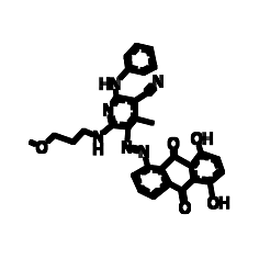 COCCCNc1nc(Nc2ccccc2)c(C#N)c(C)c1/N=N/c1cccc2c1C(=O)c1c(O)ccc(O)c1C2=O